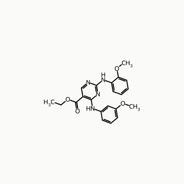 CCOC(=O)c1cnc(Nc2ccccc2OC)nc1Nc1cccc(OC)c1